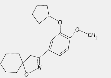 COc1ccc(C2=NOC3(CCCCC3)C2)cc1OC1CCCC1